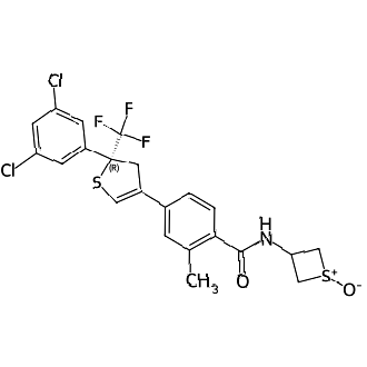 Cc1cc(C2=CS[C@](c3cc(Cl)cc(Cl)c3)(C(F)(F)F)C2)ccc1C(=O)NC1C[S+]([O-])C1